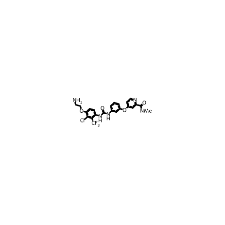 CNC(=O)c1cc(Oc2cccc(NC(=O)Nc3ccc(OCCN)c(Cl)c3C(F)(F)F)c2)ccn1